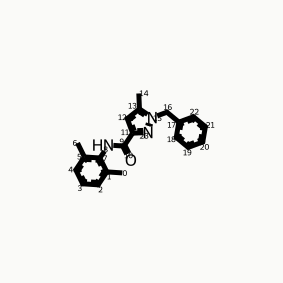 Cc1cccc(C)c1NC(=O)c1cc(C)n(Cc2ccccc2)n1